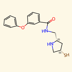 O=C(NC[C@@H]1C[C@H](S)CN1)c1cccc(Oc2ccccc2)c1